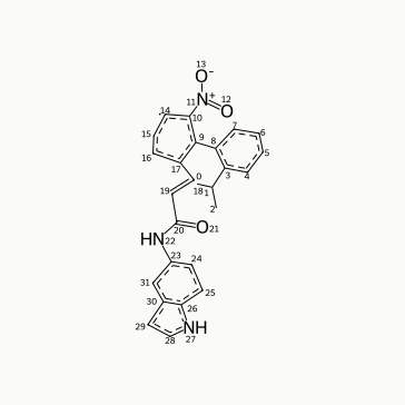 CC(C)c1ccccc1-c1c([N+](=O)[O-])[c]ccc1/C=C/C(=O)Nc1ccc2[nH]ccc2c1